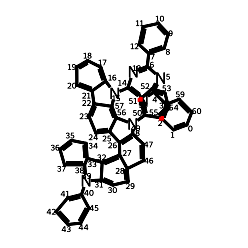 c1ccc(-c2nc(-c3ccccc3)nc(-n3c4ccccc4c4ccc5c6c7c(ccc8c7c7ccccc7n8-c7ccccc7)ccc6n(-c6ccccc6)c5c43)n2)cc1